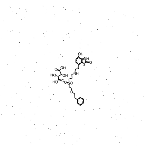 O=C(O)C(O)C(O)C(=O)O.O=c1[nH]c2c(O)ccc(CCNCCCS(=O)(=O)CCOCCc3ccccc3)c2s1